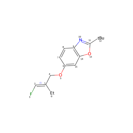 CC/C(=C\F)COc1ccc2nc(C(C)(C)C)oc2c1